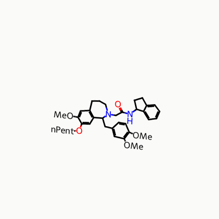 CCCCCOc1cc2c(cc1OC)CCCN(CC(=O)NC1CCc3ccccc31)C2Cc1ccc(OC)c(OC)c1